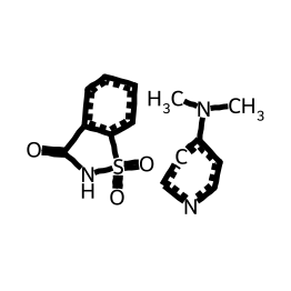 CN(C)c1ccncc1.O=C1NS(=O)(=O)c2ccccc21